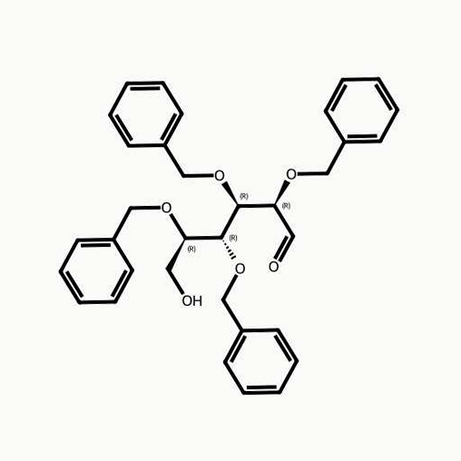 O=C[C@H](OCc1ccccc1)[C@H](OCc1ccccc1)[C@H](OCc1ccccc1)[C@@H](CO)OCc1ccccc1